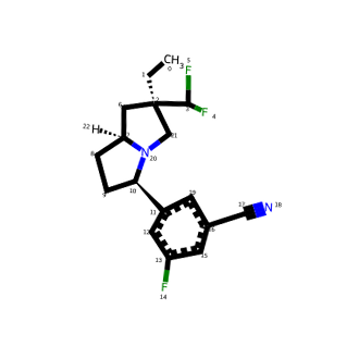 CC[C@@]1(C(F)F)C[C@@H]2CC[C@H](c3cc(F)cc(C#N)c3)N2C1